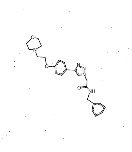 O=C(Cn1cc(-c2ccc(OCCN3CCOCC3)cc2)nn1)NCc1ccccc1